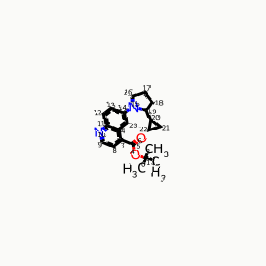 CC(C)(C)OC(=O)c1ccnc2ccc(N3CCCC3C3CC3)cc12